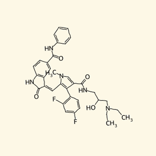 CCN(CC)CC(O)CNC(=O)c1cn(C)c(C=C2C(=O)Nc3ccc(C(=O)Nc4ccccc4)cc32)c1-c1ccc(F)cc1F